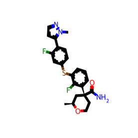 C[C@H]1C[C@@](C(N)=O)(c2cccc(Sc3ccc(-c4ccnn4C)c(F)c3)c2F)CCO1